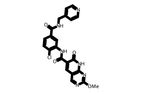 COc1ncc2cc(C(=O)Nc3cc(C(=O)NCc4ccncc4)ccc3Cl)c(=O)[nH]c2n1